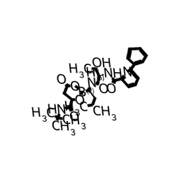 CC(C)C[C@H](NC(=O)[C@@H](NC(=O)c1cccc(-c2ccccc2)n1)[C@@H](C)O)B1OC(=O)CC(C(=O)NC(C)(C)C)O1